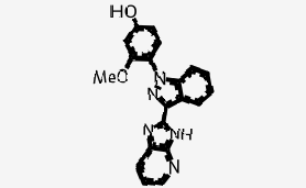 COc1cc(O)ccc1-n1nc(-c2nc3cccnc3[nH]2)c2ccccc21